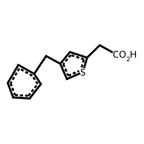 O=C(O)Cc1cc(Cc2ccccc2)cs1